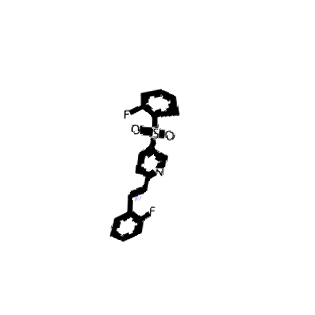 O=S(=O)(c1ccc(/C=C/c2ccccc2F)nc1)c1ccccc1F